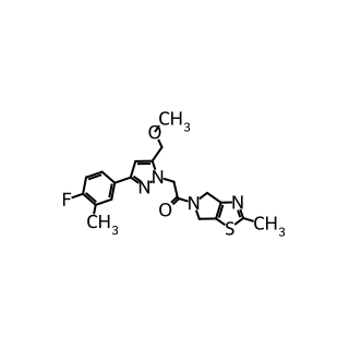 COCc1cc(-c2ccc(F)c(C)c2)nn1CC(=O)N1Cc2nc(C)sc2C1